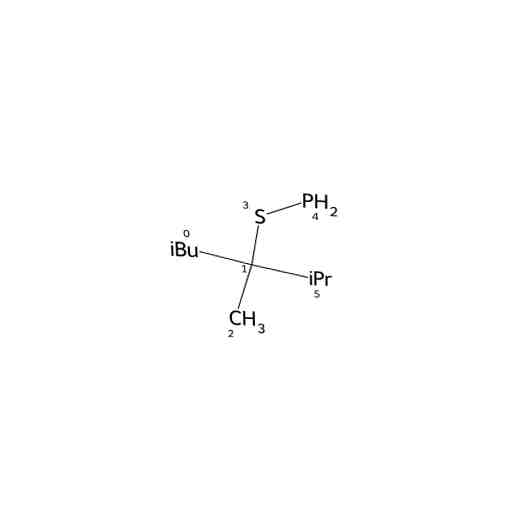 CCC(C)C(C)(SP)C(C)C